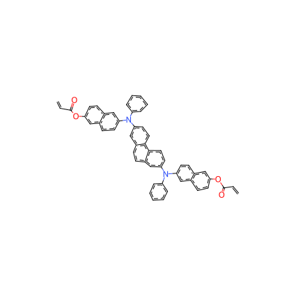 C=CC(=O)Oc1ccc2cc(N(c3ccccc3)c3ccc4c(ccc5cc(N(c6ccccc6)c6ccc7cc(OC(=O)C=C)ccc7c6)ccc54)c3)ccc2c1